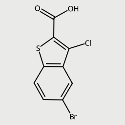 O=C(O)c1sc2ccc(Br)cc2c1Cl